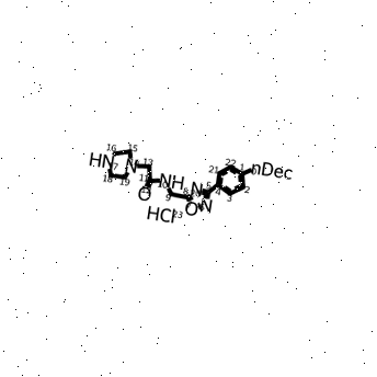 CCCCCCCCCCc1ccc(-c2noc(CNC(=O)CN3CCNCC3)n2)cc1.Cl